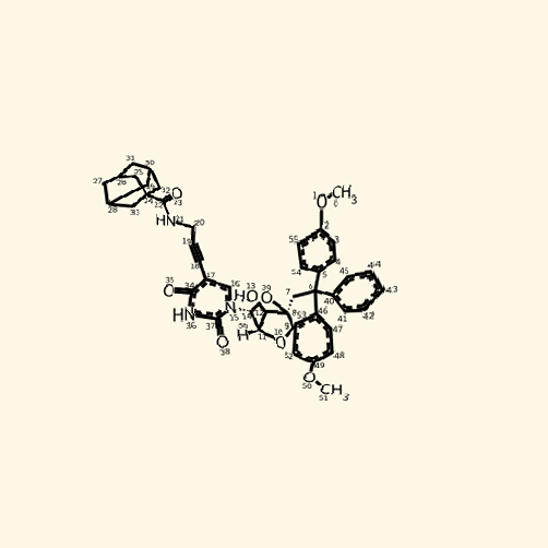 COc1ccc(C(C[C@]23CO[C@@H](C2O)[C@H](n2cc(C#CCNC(=O)C45CC6CC(CC(C6)C4)C5)c(=O)[nH]c2=O)O3)(c2ccccc2)c2ccc(OC)cc2)cc1